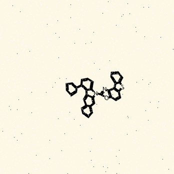 c1ccc(-c2cccc3c2c2cc4ccccc4cc2n3-c2nc3c(ccc4sc5ccccc5c43)o2)cc1